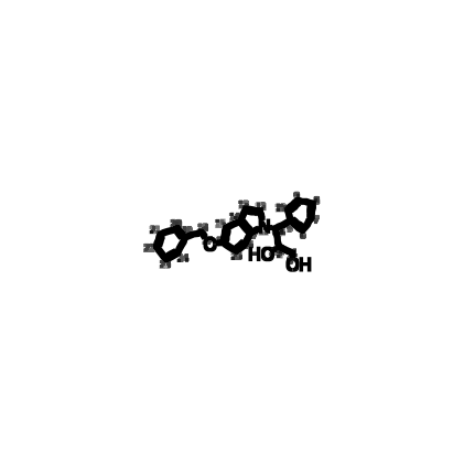 OC[C@@H](O)[C@H](c1ccccc1)n1ccc2cc(OCc3ccccc3)ccc21